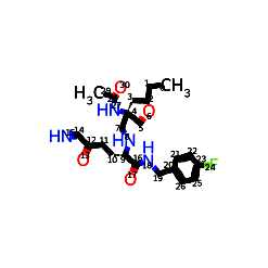 CCCC[C@](C=O)(CN[C@@H](CCC(=O)C=N)C(=O)NCc1ccc(F)cc1)NC(C)=O